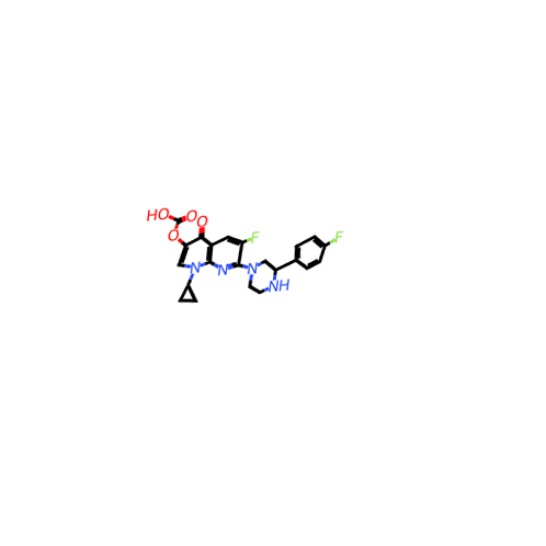 O=C(O)Oc1cn(C2CC2)c2nc(N3CCNC(c4ccc(F)cc4)C3)c(F)cc2c1=O